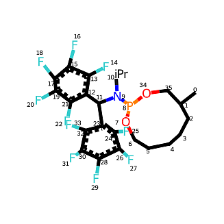 CC1CCCCCOP(N(C(C)C)C(c2c(F)c(F)c(F)c(F)c2F)c2c(F)c(F)c(F)c(F)c2F)OC1